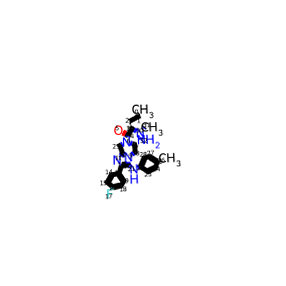 CCC[C@@H](C(=O)N1CCn2c(nc(-c3ccc(F)cc3)c2Nc2ccc(C)cc2)C1)N(C)N